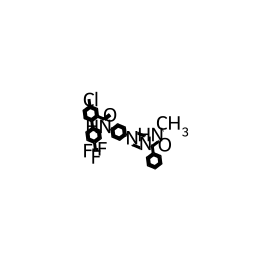 CCNC(=O)C(c1ccccc1)N1CCN(c2ccc(NC(=O)c3cc(Cl)ccc3-c3ccc(C(F)(F)F)cc3)cc2)CC1